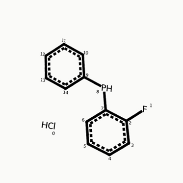 Cl.Fc1ccccc1Pc1ccccc1